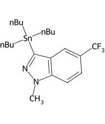 CCC[CH2][Sn]([CH2]CCC)([CH2]CCC)[c]1nn(C)c2ccc(C(F)(F)F)cc12